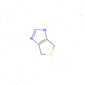 C1=NC2=C(CSC2)[N]1